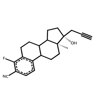 C#CC[C@]1(O)CCC2C3CCc4c(ccc(C#N)c4F)C3CC[C@@]21C